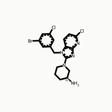 N[C@H]1CCCN(c2nc3nc(Cl)ccc3n2Cc2cc(Cl)cc(Br)c2)C1